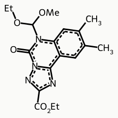 CCOC(=O)c1nc2c3cc(C)c(C)cc3n(C(OC)OCC)c(=O)n2n1